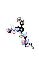 COc1cccc(-c2ccc(CNC(=O)[C@@H]3C[C@H]3c3nc(C)no3)c3c2CCN(C(=O)Nc2ccon2)C3)c1